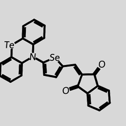 O=C1C(=Cc2ccc(N3c4ccccc4[Te]c4ccccc43)[se]2)C(=O)c2ccccc21